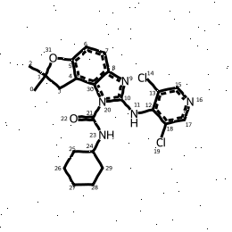 CC1(C)Cc2c(ccc3nc(Nc4c(Cl)cncc4Cl)n(C(=O)NC4CCCCC4)c23)O1